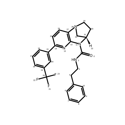 O=C(NCCc1ccccc1)N1c2nc(-c3cccc(C(F)(F)F)c3)ccc2N2CC[C@H]1C2